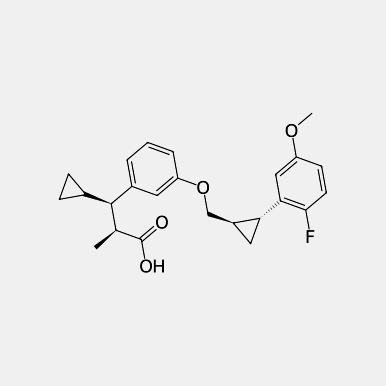 COc1ccc(F)c([C@@H]2C[C@H]2COc2cccc([C@H](C3CC3)[C@H](C)C(=O)O)c2)c1